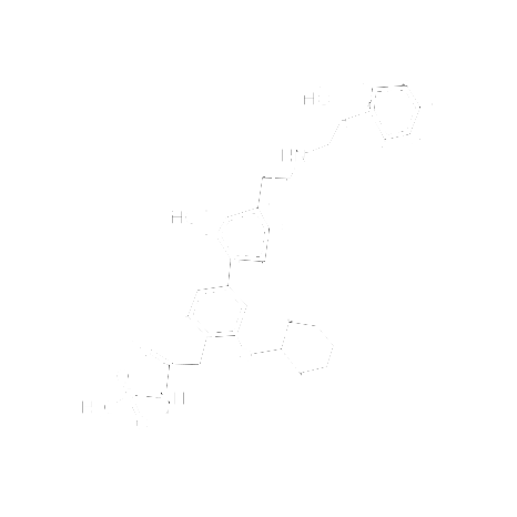 CS(=O)(=O)NC(=O)Cc1ccc(-c2ccc(CCNC[C@H](O)c3ccccc3)cc2)cc1OC1CCCCC1.Cl